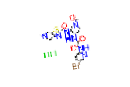 CC(=O)N1CC[C@H](NC(=O)C(=O)Nc2ccc(Br)cn2)[C@H](NC(=O)c2nc3c(s2)CN(C)CC3)C1.Cl